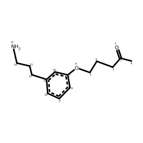 CC(=O)CCCOc1cccc(CCCN)c1